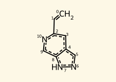 C=Cc1cc2cn[nH]c2cn1